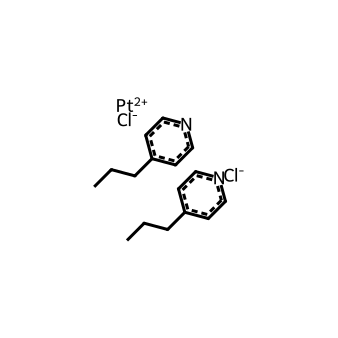 CCCc1ccncc1.CCCc1ccncc1.[Cl-].[Cl-].[Pt+2]